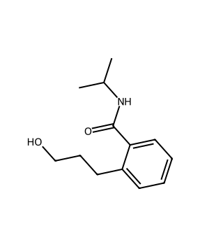 CC(C)NC(=O)c1ccccc1CCCO